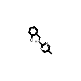 Cc1cnc(NCc2ccccc2Cl)nc1